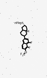 CCCCCCC[C@@H]1CC[C@@H]2CC(c3cc(F)c4c(F)c(OC(F)(F)F)ccc4c3)CCC2C1